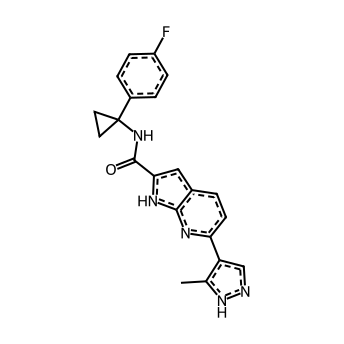 Cc1[nH]ncc1-c1ccc2cc(C(=O)NC3(c4ccc(F)cc4)CC3)[nH]c2n1